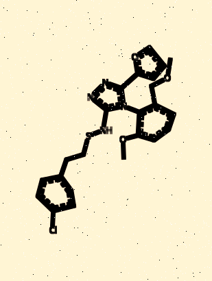 COCc1cccc(OC)c1-n1c(NSCCc2ccc(Cl)cc2)nnc1-c1ccco1